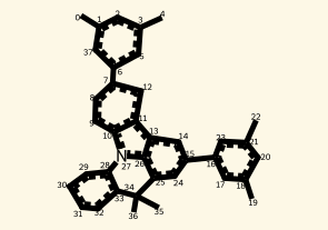 Cc1cc(C)cc(-c2ccc3c(c2)c2cc(-c4cc(C)cc(C)c4)cc4c2n3-c2ccccc2C4(C)C)c1